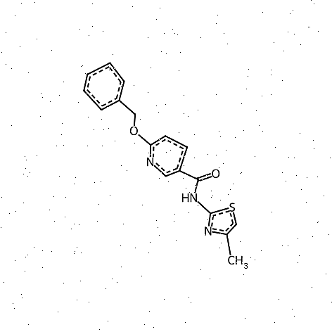 Cc1csc(NC(=O)c2ccc(OCc3ccccc3)nc2)n1